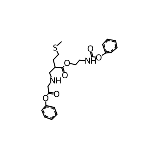 CSCCC(CNCC(=O)Oc1ccccc1)C(=O)OCCNC(=O)Oc1ccccc1